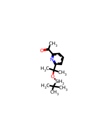 CC(=O)c1cccc(C(C)(C)O[SiH2]C(C)(C)C)n1